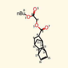 CCCCOC(=O)COC(=O)C1CC2CC1C1C3C=CC(C3)C21